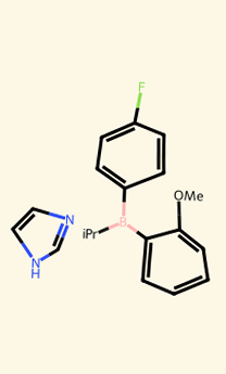 COc1ccccc1B(c1ccc(F)cc1)C(C)C.c1c[nH]cn1